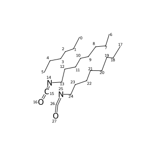 CCCCCC.CCCCCCCCN=C=O.CCCCCCCCN=C=O